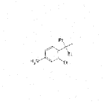 CCc1cc([SiH3])ccc1C(C)(CC)CC